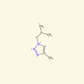 Cc1[c]n(CC(C)C)nn1